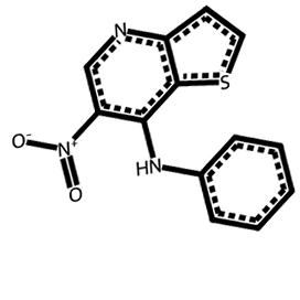 O=[N+]([O-])c1cnc2ccsc2c1Nc1ccccc1